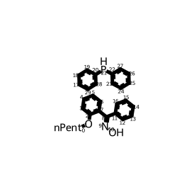 CCCCCOc1ccccc1C(=NO)c1ccccc1.c1ccc(Pc2ccccc2)cc1